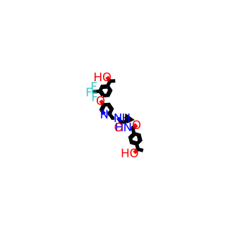 CC(O)c1ccc(C(=O)NC2(C(=O)NCc3ccc(Oc4ccc(C(C)O)cc4C(F)(F)F)cn3)CC2)cc1